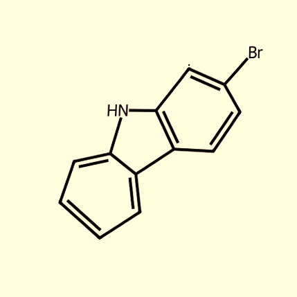 Brc1[c]c2[nH]c3ccccc3c2cc1